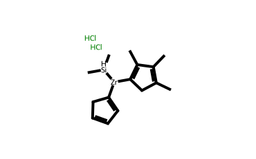 CC1=C(C)C(C)=[C]([Zr]([C]2=CC=CC2)[SiH](C)C)C1.Cl.Cl